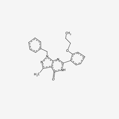 CCCOc1ccccc1-c1nc2c(c(C)nn2Cc2ccccc2)c(=O)[nH]1